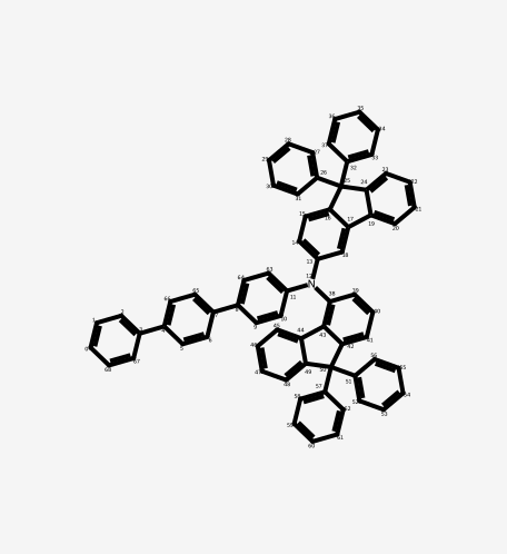 c1ccc(-c2ccc(-c3ccc(N(c4ccc5c(c4)-c4ccccc4C5(c4ccccc4)c4ccccc4)c4cccc5c4-c4ccccc4C5(c4ccccc4)c4ccccc4)cc3)cc2)cc1